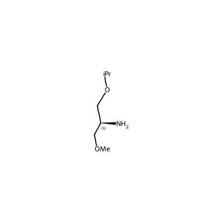 COC[C@H](N)COC(C)C